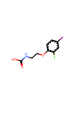 O=C(O)NCCOc1ccc(I)cc1F